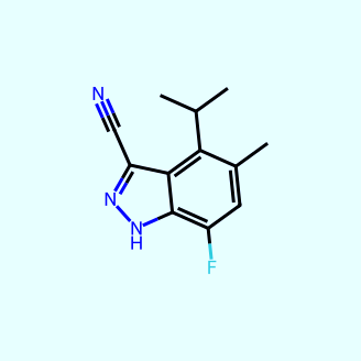 Cc1cc(F)c2[nH]nc(C#N)c2c1C(C)C